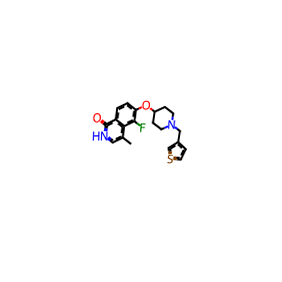 Cc1c[nH]c(=O)c2ccc(OC3CCN(Cc4ccsc4)CC3)c(F)c12